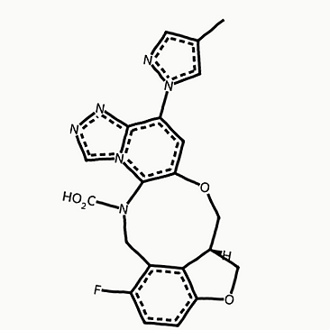 Cc1cnn(-c2cc3c(n4cnnc24)N(C(=O)O)Cc2c(F)ccc4c2[C@@H](CO4)CO3)c1